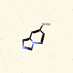 CC(=O)Nc1ccn2cncc2c1